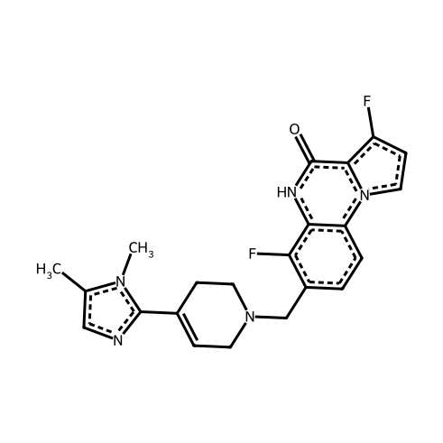 Cc1cnc(C2=CCN(Cc3ccc4c([nH]c(=O)c5c(F)ccn54)c3F)CC2)n1C